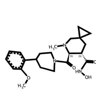 COc1ccccc1C1CCN(C(=O)[C@@H]2[C@@H](C(=O)NO)CC3(CC3)CN2C)CC1